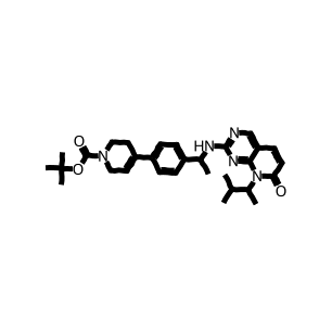 CC(Nc1ncc2ccc(=O)n(C(C)C(C)C)c2n1)c1ccc(C2=CCN(C(=O)OC(C)(C)C)CC2)cc1